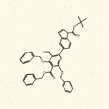 CCc1c(-c2ccc3c(ccn3C(=O)OC(C)(C)C)c2)nc(OCc2ccccc2)c(C(=O)OCc2ccccc2)c1OCc1ccccc1